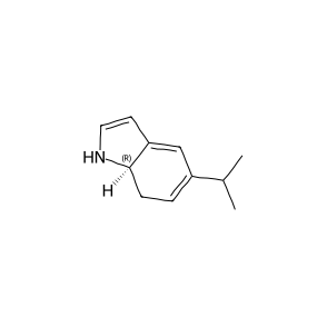 CC(C)C1=CC[C@H]2NC=CC2=C1